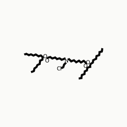 CCCCCCCCC(CCCCCCCC)OC(=O)CCCCCCCN(CCCCl)CCCCCCCC(=O)OC(CCCCCCCC)CCCCCCCC